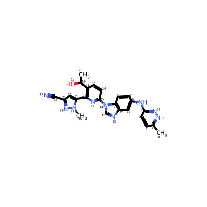 Cc1ccc(Nc2ccc3c(c2)ncn3-c2ccc(C(C)O)c(-c3cc(C#N)nn3C)n2)nn1